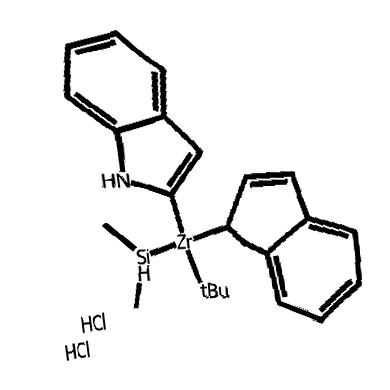 C[SiH](C)[Zr]([c]1cc2ccccc2[nH]1)([CH]1C=Cc2ccccc21)[C](C)(C)C.Cl.Cl